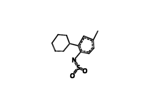 Cc1ccc(N=S(=O)=O)c(C2CCCCC2)c1